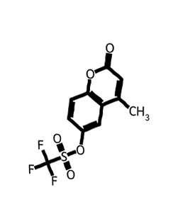 Cc1cc(=O)oc2ccc(OS(=O)(=O)C(F)(F)F)cc12